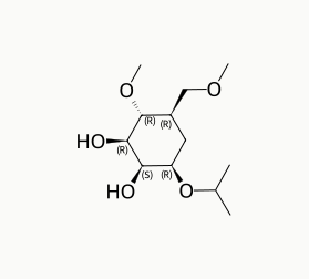 COC[C@H]1C[C@@H](OC(C)C)[C@@H](O)[C@@H](O)[C@@H]1OC